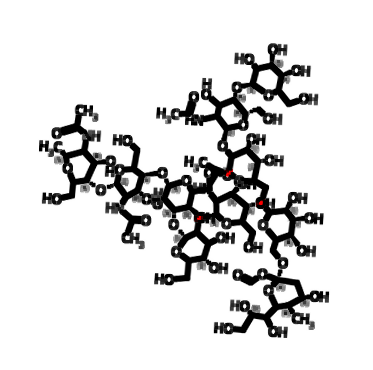 CC(=O)NC1C(O)[C@H](O[C@@H]2OC(CO)[C@H](O)[C@H](O)C2O)[C@H](CO)O[C@H]1OC1[C@@H](OCC2O[C@@H](O[C@@H]3C(CO)O[C@@H](O[C@@H]4C(CO)O[C@@H](C)C(NC(C)=O)[C@H]4O)C(NC(C)=O)[C@H]3O)C(O)[C@@H](O[C@H]3OC(CO)[C@@H](O)C(O)C3O[C@@H]3OC(CO)[C@@H](OC4OC(CO[C@]5(OC=O)C[C@@H](O)[C@@H](C)C(C(O)[C@H](O)CO)O5)[C@H](O)[C@H](O)[C@@H]4O)[C@H](O)C3NC(C)=O)[C@@H]2O)OC(CO)[C@@H](O)[C@@H]1O